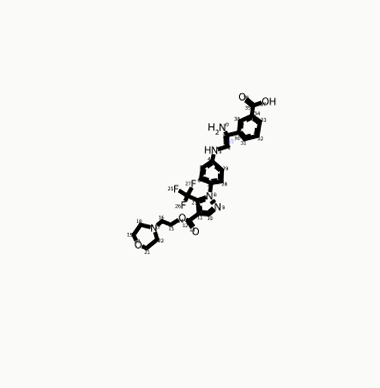 N/C(=C\Nc1ccc(-n2ncc(C(=O)OCCN3CCOCC3)c2C(F)(F)F)cc1)c1cccc(C(=O)O)c1